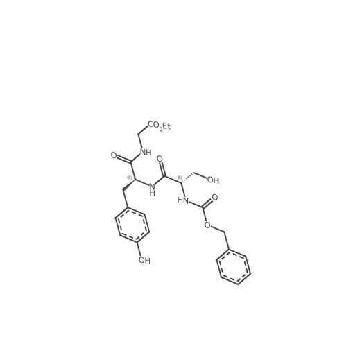 CCOC(=O)CNC(=O)[C@H](Cc1ccc(O)cc1)NC(=O)[C@H](CO)NC(=O)OCc1ccccc1